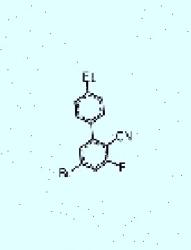 CCc1ccc(-c2cc(Br)cc(F)c2C#N)cc1